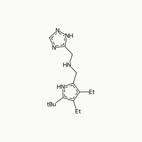 CCc1c(CNCc2ncn[nH]2)[nH]c(C(C)(C)C)c1CC